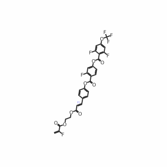 C=C(F)C(=O)OCCOC(=O)/C=C/c1ccc(OC(=O)c2ccc(OC(=O)c3c(F)cc(OC(F)(F)F)cc3F)cc2F)cc1